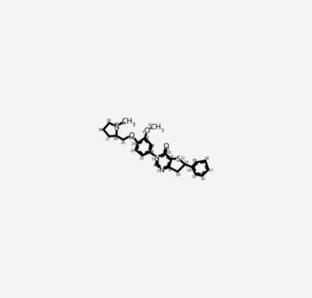 COc1cc(-n2cnc3c(c2=O)SC(c2ccccc2)C3)ccc1OCC1CCCN1C